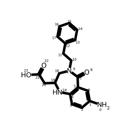 Nc1ccc2c(c1)C(=O)N(CCc1ccccc1)CC(CC(=O)O)N2